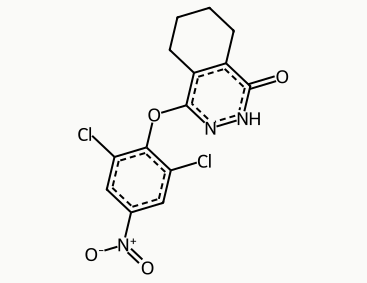 O=c1[nH]nc(Oc2c(Cl)cc([N+](=O)[O-])cc2Cl)c2c1CCCC2